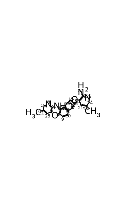 Cc1cnc(N)c(Oc2ccc3c(c2)C2CCC3C2Oc2cc(C)cnc2N)c1